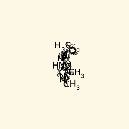 Cc1cc2n(n1)CC[C@H](NC(=O)c1ncn(CC3C=CC=CC3C)n1)C(=O)N2C